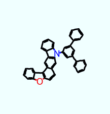 c1ccc(-c2cc(-c3ccccc3)cc(-n3c4ccccc4c4cc5c(ccc6oc7ccccc7c65)cc43)c2)cc1